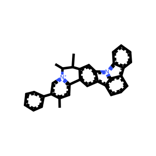 Cc1cc2[n+](cc1-c1ccccc1)C(C)C(C)c1cc3c(cc1-2)c1cccc2c4ccccc4n3c21